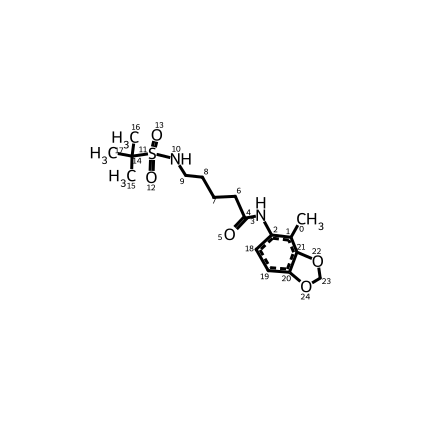 Cc1c(NC(=O)CCCCNS(=O)(=O)C(C)(C)C)ccc2c1OCO2